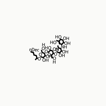 CCCCCCCCCCCCCCC(C)OC1OC(CO)C(OC2OC(CO)C(OC3OC(C)C(NC4C=C(CO)C(O)C(O)C4O)C(O)C3O)C(O)C2O)C(O)C1O